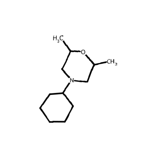 CC1CN(C2CCCCC2)CC(C)O1